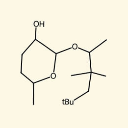 CC1CCC(O)C(OC(C)C(C)(C)CC(C)(C)C)O1